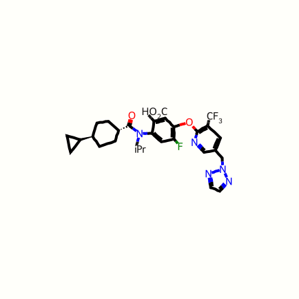 CC(C)N(c1cc(F)c(Oc2ncc(Cn3nccn3)cc2C(F)(F)F)cc1C(=O)O)C(=O)[C@H]1CC[C@H](C2CC2)CC1